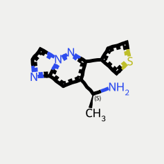 C[C@H](N)c1cc2nccn2nc1-c1ccsc1